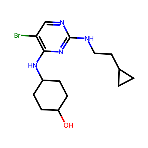 OC1CCC(Nc2nc(NCCC3CC3)ncc2Br)CC1